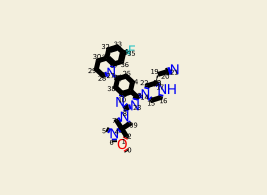 COCC1(N(C)C)CN(c2nc3c(c(N4CCN[C@@H](CC#N)C4)n2)CC[C@@H](N2CCCc4ccc(F)cc42)C3)C1